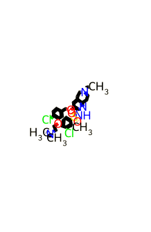 CCN1CCc2cc(OCc3ccc(Cl)c(OCCN(C)C)c3)c(NS(=O)(=O)c3cccc(Cl)c3C)nc2CC1